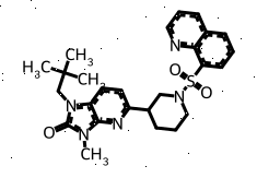 Cn1c(=O)n(CC(C)(C)C)c2ccc(C3CCCN(S(=O)(=O)c4cccc5cccnc45)C3)nc21